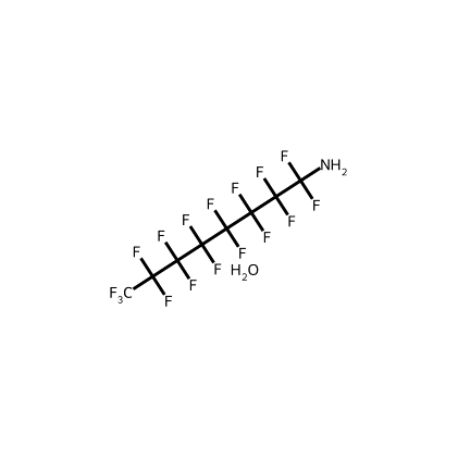 NC(F)(F)C(F)(F)C(F)(F)C(F)(F)C(F)(F)C(F)(F)C(F)(F)C(F)(F)F.O